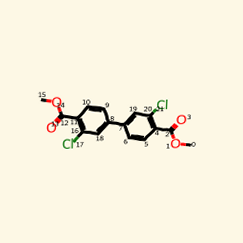 COC(=O)c1ccc(-c2ccc(C(=O)OC)c(Cl)c2)cc1Cl